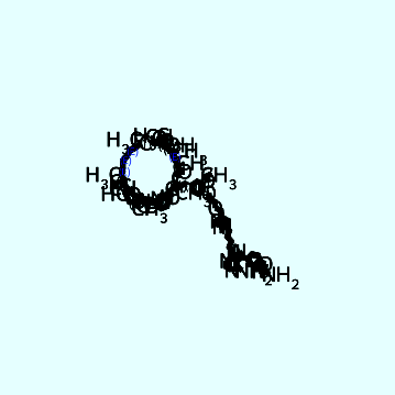 CO[C@H]1C[C@]2(O)CC[C@@H](C)[C@@](O)(O2)C(=O)C(=O)N2CCCC[C@H]2C(=O)O[C@H]([C@H](C)C[C@@H]2CC[C@@H](OCCOCc3cn(CCCCn4nc(-c5ccc6oc(N)nc6c5)c5c(N)ncnc54)nn3)[C@H](OC)C2)CC(=O)[C@H](C)/C=C(\C)[C@@H](O)[C@@H](OC)C(=O)[C@H](C)C[C@H](C)/C=C/C=C/C=C/1C